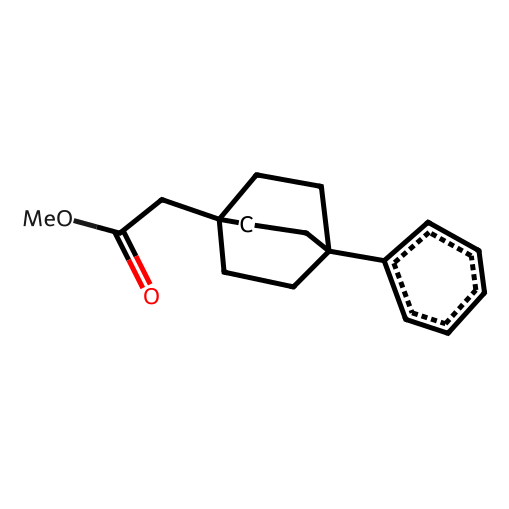 COC(=O)CC12CCC(c3ccccc3)(CC1)CC2